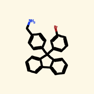 NCc1ccc(C2(c3cccc(Br)c3)c3ccccc3-c3ccccc32)cc1